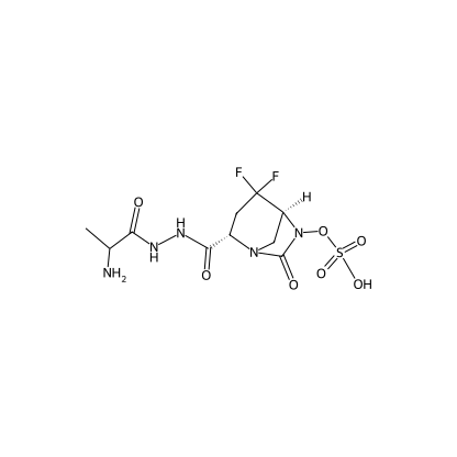 CC(N)C(=O)NNC(=O)[C@@H]1CC(F)(F)[C@@H]2CN1C(=O)N2OS(=O)(=O)O